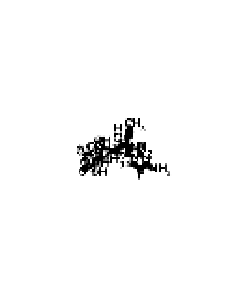 CC#CC1(N)[C@@H](O)[C@@H]([C@@H](C)OP(=O)(O)OP(=O)(O)OP(=O)(O)O)O[C@H]1n1cc(F)c(N)nc1=O